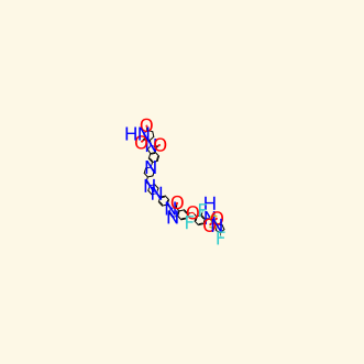 O=C1CCC(N2Cc3cc(N4CCC(CN5CCN(c6ccc(-n7cnc8ccc(Oc9c(F)ccc(NS(=O)(=O)N%10CC[C@@H](F)C%10)c9F)cc8c7=O)cc6)CC5)CC4)ccc3C2=O)C(=O)N1